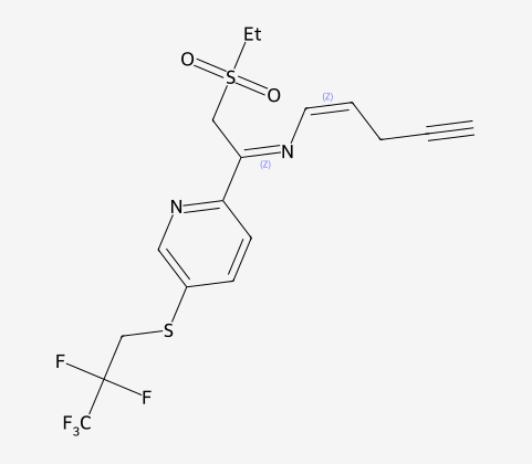 C#CC/C=C\N=C(/CS(=O)(=O)CC)c1ccc(SCC(F)(F)C(F)(F)F)cn1